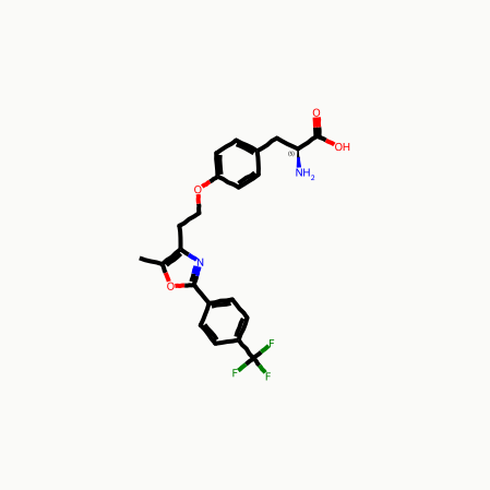 Cc1oc(-c2ccc(C(F)(F)F)cc2)nc1CCOc1ccc(C[C@H](N)C(=O)O)cc1